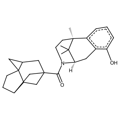 CC1(C)[C@H]2Cc3c(O)cccc3[C@]1(C)CCN2C(=O)C12CC3CCC4(CC4C1)C3C2